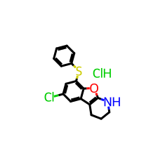 Cl.Clc1cc(Sc2ccccc2)c2oc3c(c2c1)CCCN3